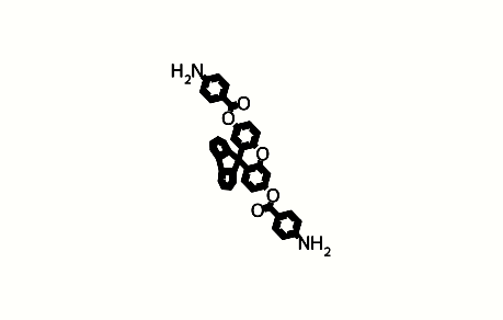 Nc1ccc(C(=O)Oc2ccc3c(c2)Oc2ccc(OC(=O)c4ccc(N)cc4)cc2C32c3ccccc3-c3ccccc32)cc1